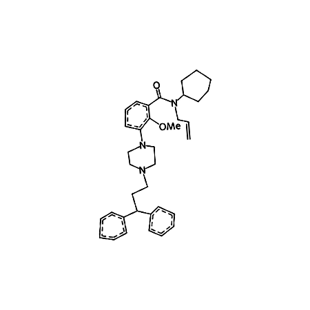 C=CCN(C(=O)c1cccc(N2CCN(CCC(c3ccccc3)c3ccccc3)CC2)c1OC)C1CCCCC1